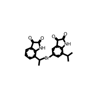 CC(C)c1cc(Br)cc2c1NC(=O)C2=O.CC(C)c1cccc2c1NC(=O)C2=O